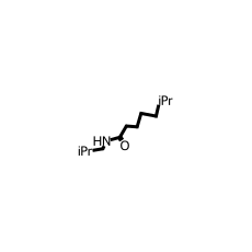 CC(C)CCCCC(=O)NCC(C)C